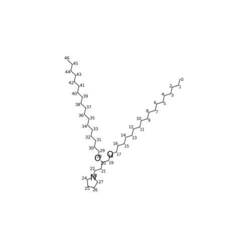 CCCCCCCCCCCCCCCCCCOCC(CCN1CCCC1)OCCCCCCCCCCCCCCCCCC